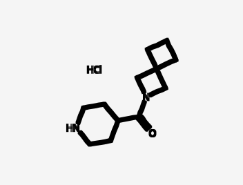 Cl.O=C(C1CCNCC1)N1CC2(CCC2)C1